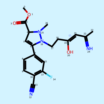 COC(=O)C1C=C(c2ccc(C#N)c(F)c2)N(CC/C(O)=C/C(C)=N)N1C